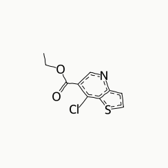 CCOC(=O)c1cnc2ccsc2c1Cl